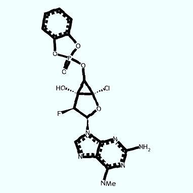 CNc1nc(N)nc2c1ncn2[C@@H]1O[C@]2(Cl)C(OP3(=O)Oc4ccccc4O3)[C@]2(O)[C@@H]1F